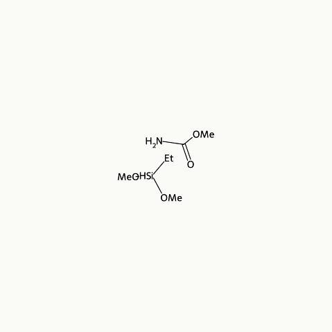 CC[SiH](OC)OC.COC(N)=O